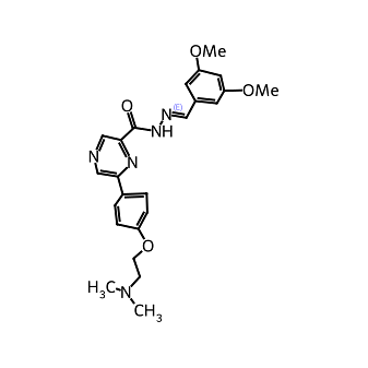 COc1cc(/C=N/NC(=O)c2cncc(-c3ccc(OCCN(C)C)cc3)n2)cc(OC)c1